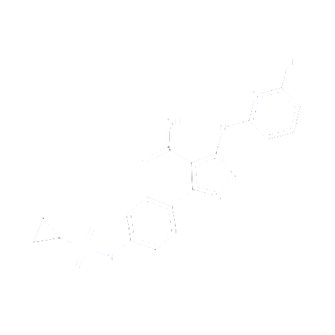 NC(=O)c1c(-c2ccc(NS(=O)(=O)C3CC3)cc2)n[nH]c1Nc1cccc(C(F)(F)F)n1